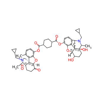 Cc1ccc(OC(=O)C2CCC(C(=O)Oc3ccc4c5c3O[C@H]3C(O)CC[C@@]6(O)C(C)N(CC7CC7)C4C[C@]536)CC2)c2c1[C@]13CCN(CC4CC4)C(C)[C@]1(O)CCC(=O)[C@@H]3O2